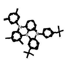 Cc1cc(C)cc(N2c3cc(C)cc(C)c3B3c4cc(C(C)(C)C)ccc4N(c4ccc(C(C)(C)C)cc4)c4cccc2c43)c1